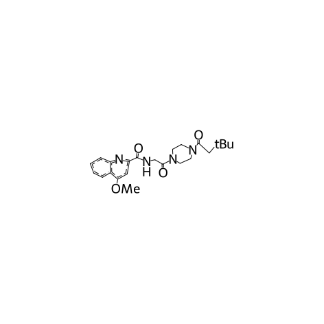 COc1cc(C(=O)NCC(=O)N2CCN(C(=O)CC(C)(C)C)CC2)nc2ccccc12